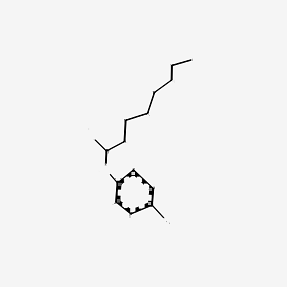 CCCCCCCC(C)Oc1ccc(N)cc1